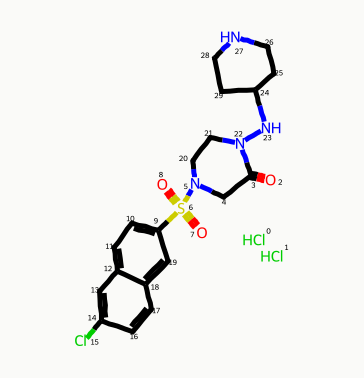 Cl.Cl.O=C1CN(S(=O)(=O)c2ccc3cc(Cl)ccc3c2)CCN1NC1CCNCC1